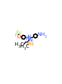 CCCC(PC)c1nc(-c2ccc(N)cc2)nn1-c1ccc(OC(F)(F)F)cc1